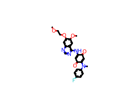 COCCOc1cc2ncnc(NC3=CC(=O)C(N(C)c4ccc(F)cc4)=CC3=O)c2cc1OC